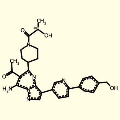 CC(=O)c1c(C2CCN(C(=O)[C@@H](C)O)CC2)nc2c(-c3ccc(-c4ccc(CO)cc4)nc3)cnn2c1N